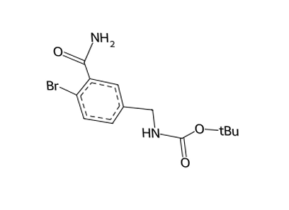 CC(C)(C)OC(=O)NCc1ccc(Br)c(C(N)=O)c1